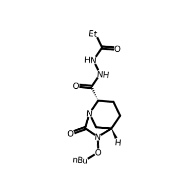 CCCCON1C(=O)N2C[C@@H]1CC[C@H]2C(=O)NNC(=O)CC